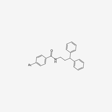 CC(=O)c1ccc(C(=O)NCCC(c2ccccc2)c2ccccc2)cc1